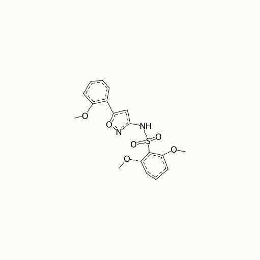 COc1ccccc1-c1cc(NS(=O)(=O)c2c(OC)cccc2OC)no1